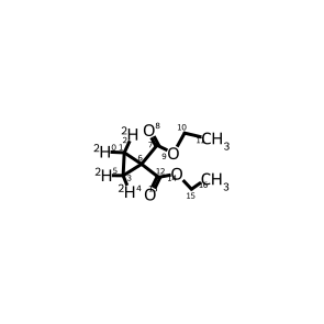 [2H]C1([2H])C([2H])([2H])C1(C(=O)OCC)C(=O)OCC